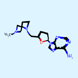 CN1CC2(CCN2CC2CCC(n3cnc4c(N)ncnc43)O2)C1